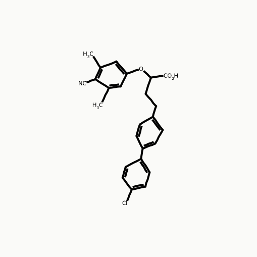 Cc1cc(OC(CCc2ccc(-c3ccc(Cl)cc3)cc2)C(=O)O)cc(C)c1C#N